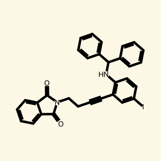 O=C1c2ccccc2C(=O)N1CCC#Cc1cc(I)ccc1NC(c1ccccc1)c1ccccc1